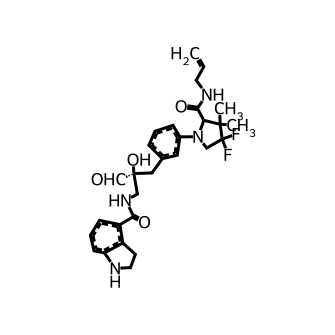 C=CCNC(=O)C1N(c2cccc(C[C@@](O)(C=O)CNC(=O)c3cccc4c3CCN4)c2)CC(F)(F)C1(C)C